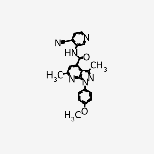 COc1ccc(-n2nc(C)c3c(C(=O)Nc4cnccc4C#N)cc(C)nc32)cc1